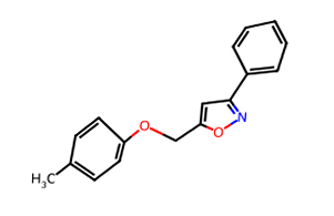 Cc1ccc(OCc2cc(-c3ccccc3)no2)cc1